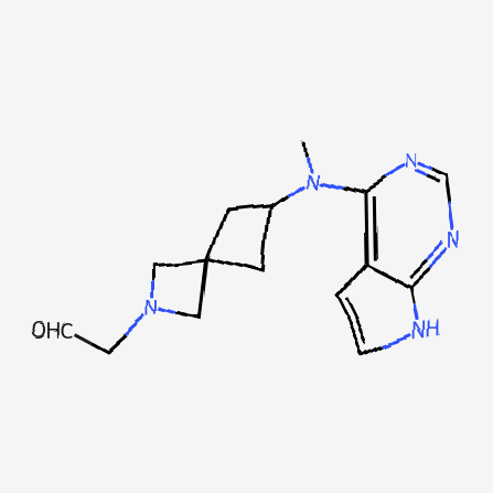 CN(c1ncnc2[nH]ccc12)C1CC2(C1)CN(CC=O)C2